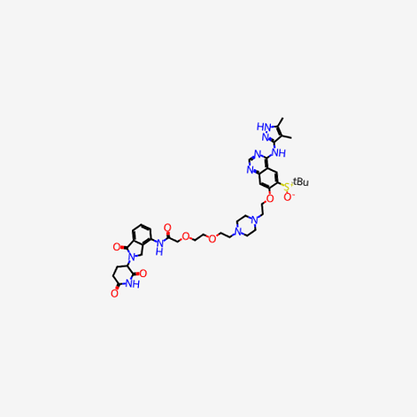 Cc1[nH]nc(Nc2ncnc3cc(OCCN4CCN(CCOCCOCC(=O)Nc5cccc6c5CN(C5CCC(=O)NC5=O)C6=O)CC4)c([S+]([O-])C(C)(C)C)cc23)c1C